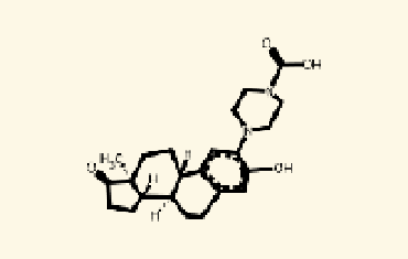 C[C@]12CC[C@@H]3c4cc(N5CCN(C(=O)O)CC5)c(O)cc4CC[C@H]3[C@@H]1CCC2=O